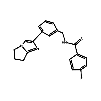 O=C(NCc1cccc(-c2cn3c(n2)CCC3)c1)c1ccc(F)cc1